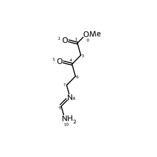 COC(=O)CC(=O)CC/N=C/N